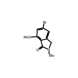 CSc1cc(Br)cc2c1C(=O)N(C(C)(C)C)C2